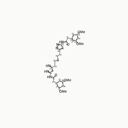 COc1cc(CC(=O)NC(=N)SC(=N)CCSCCc2nnc(NC(=O)Cc3cc(OC)cc(OC)c3)s2)cc(OC)c1